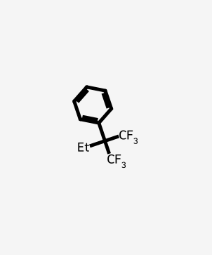 CCC(c1ccccc1)(C(F)(F)F)C(F)(F)F